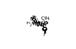 COc1cc2c(N)nc(N3CCN(C(=O)CC(c4ccc(F)cc4)N4CCCCC4)CC3)nc2c(F)c1OC.Cl